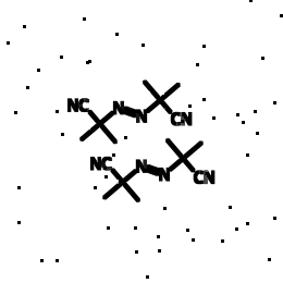 CC(C)(C#N)N=NC(C)(C)C#N.CC(C)(C#N)N=NC(C)(C)C#N